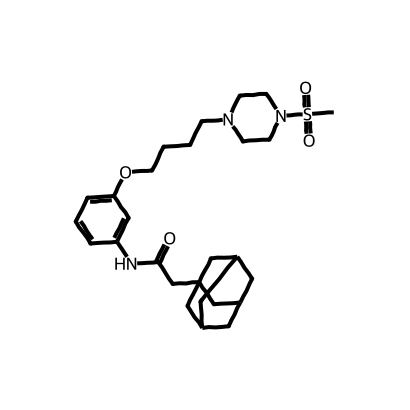 CS(=O)(=O)N1CCN(CCCCOc2cccc(NC(=O)CC34CC5CC(CC(C5)C3)C4)c2)CC1